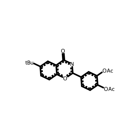 CC(=O)Oc1ccc(-c2nc(=O)c3cc(C(C)(C)C)ccc3o2)cc1OC(C)=O